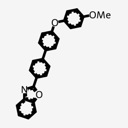 COc1ccc(Oc2ccc(-c3ccc(-c4nc5ccccc5o4)cc3)cc2)cc1